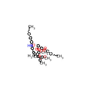 CCCCC[C@H]1CC[C@H](c2ccc(-c3ccc(C(=O)Nc4ccc(-c5ccc6c(c5)-c5c(c7c(c8cc(OC)c(OC(=O)c9ccccc9-c9ccc(OC(=O)[C@H]%10CC[C@H]([C@H]%11CC[C@H](CCCCC)CC%11)CC%10)cc9)cc58)OC(c5ccc(C)cc5)(c5ccc(OC)cc5)C=C7)C6(C)C)cc4)cc3)cc2)CC1